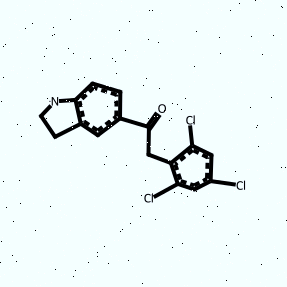 O=C(Cc1c(Cl)cc(Cl)cc1Cl)c1ccc2c(c1)CC[N]2